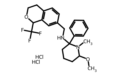 COC1CCCC(NCc2ccc3c(c2)C(C(F)(F)F)OCC3)(c2ccccc2)N1C.Cl.Cl